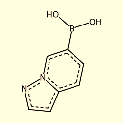 OB(O)c1ccc2ccnn2c1